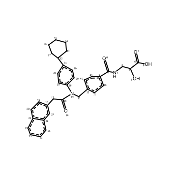 O=C(NCC(O)C(=O)O)c1ccc(CN(C(=O)Cc2ccc3ccccc3c2)c2ccc(C3CCCCC3)cc2)cc1